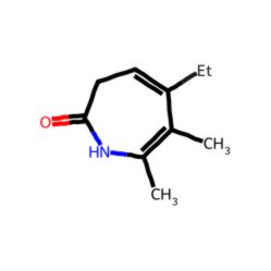 CCC1=CCC(=O)NC(C)=C1C